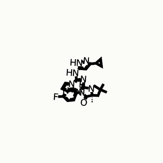 CC1(C)CN(c2nc(Nc3cc(C4CC4)n[nH]3)n3cccc3n2)[C@](C)(C(=O)Nc2ccc(F)nc2)C1